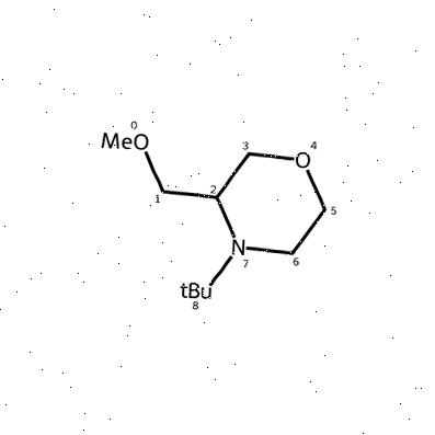 COCC1COCCN1C(C)(C)C